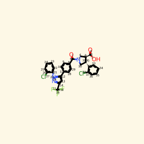 O=C(O)[C@@H]1CN(C(=O)c2ccc(-c3cc(C(F)(F)F)nn3-c3ccccc3Cl)cc2)C[C@H]1c1ccccc1Cl